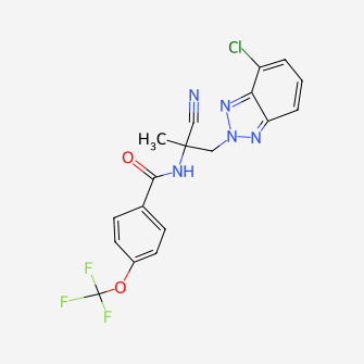 CC(C#N)(Cn1nc2cccc(Cl)c2n1)NC(=O)c1ccc(OC(F)(F)F)cc1